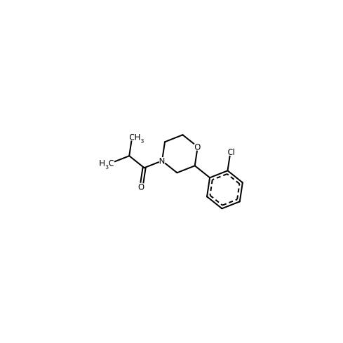 CC(C)C(=O)N1CCOC(c2ccccc2Cl)C1